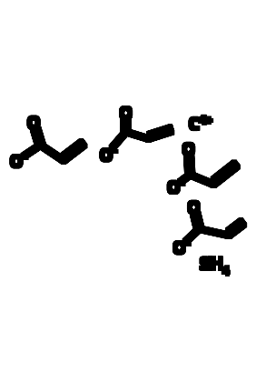 C=CC(=O)[O-].C=CC(=O)[O-].C=CC(=O)[O-].C=CC(=O)[O-].[C+4].[SiH4]